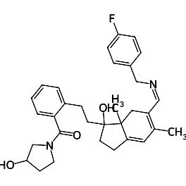 CC1=C(/C=N\Cc2ccc(F)cc2)CC2(C)C(=C1)CCC2(O)CCc1ccccc1C(=O)N1CCC(O)C1